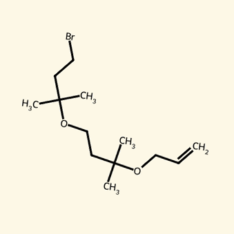 C=CCOC(C)(C)CCOC(C)(C)CCBr